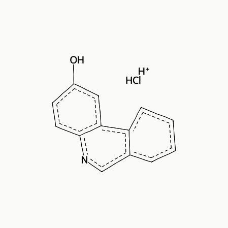 Cl.Oc1ccc2ncc3ccccc3c2c1.[H+]